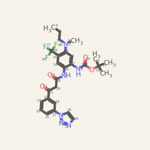 CCCN(C)c1cc(NC(=O)OC(C)(C)C)c(NC(=O)CC(=O)c2cccc(-n3ccnn3)c2)cc1C(F)(F)F